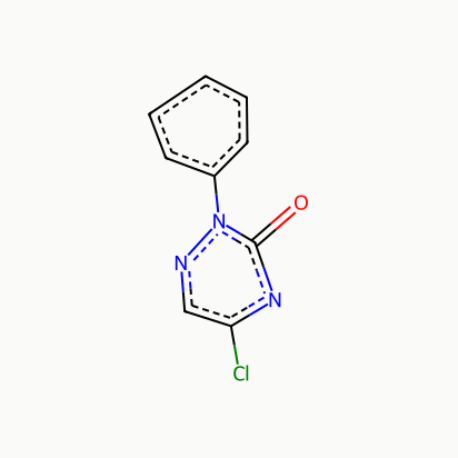 O=c1nc(Cl)cnn1-c1ccccc1